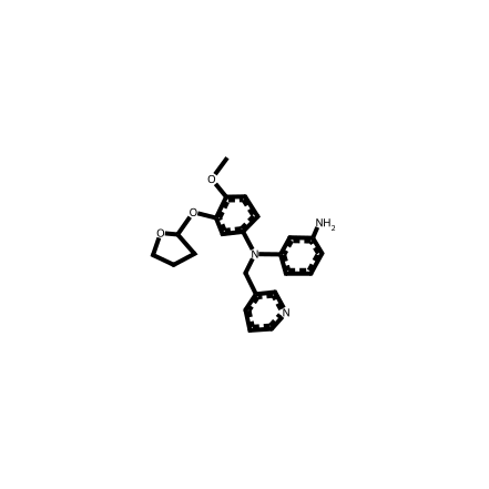 COc1ccc(N(Cc2cccnc2)c2cccc(N)c2)cc1OC1CCCO1